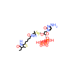 CCC1C(=O)NC2C(CCCCC(=O)NCC(C)(C)SSCOC3C[C@H](n4ccc(N)nc4=O)O[C@@H]3COP(=O)(O)OP(=O)(O)OP(=O)(O)O)SCC12